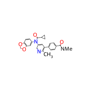 CNC(=O)c1ccc(-c2cc(N(C(=O)C3CC3)c3ccc4c(c3)OCO4)cnc2C)cc1